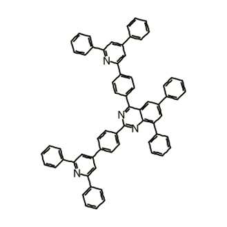 c1ccc(-c2cc(-c3ccccc3)nc(-c3ccc(-c4nc(-c5ccc(-c6cc(-c7ccccc7)nc(-c7ccccc7)c6)cc5)nc5c(-c6ccccc6)cc(-c6ccccc6)cc45)cc3)c2)cc1